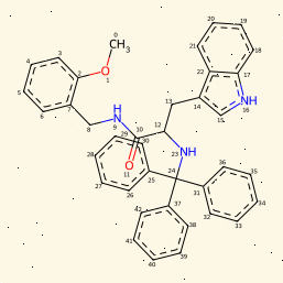 COc1ccccc1CNC(=O)C(Cc1c[nH]c2ccccc12)NC(c1ccccc1)(c1ccccc1)c1ccccc1